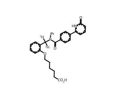 [2H]C([2H])(c1ccccc1OCCCCCC(=O)O)N(C(=O)c1ccc(-c2cccc(=O)[nH]2)cc1)C(C)C